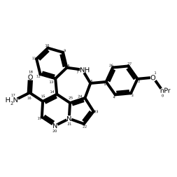 CCCOc1ccc(C2Nc3ccccc3-c3c(C(N)=O)cnn4ccc2c34)cc1